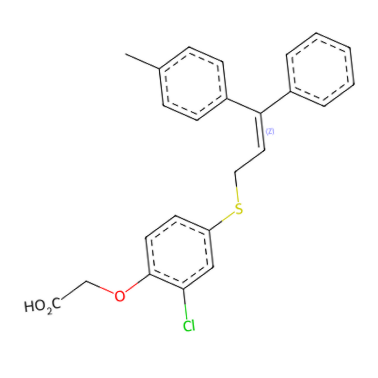 Cc1ccc(/C(=C\CSc2ccc(OCC(=O)O)c(Cl)c2)c2ccccc2)cc1